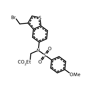 CCOC(=O)CN(c1ccc2scc(CBr)c2c1)S(=O)(=O)c1ccc(OC)cc1